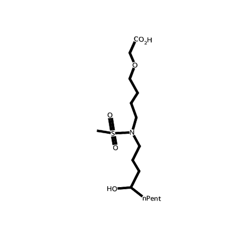 CCCCCC(O)CCCN(CCCCOCC(=O)O)S(C)(=O)=O